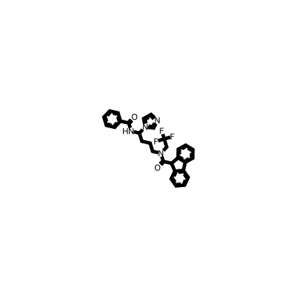 O=C(NC(CCCN(CC(F)(F)F)C(=O)C1c2ccccc2-c2ccccc21)n1ccnc1)c1ccccc1